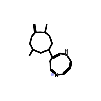 C=C1CCC(C)CC(C2=CNC=C=C/N=C\C2)CCC1C